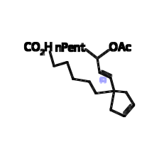 CCCCCC(/C=C/C1(CCCCCC(=O)O)CC=CC1)OC(C)=O